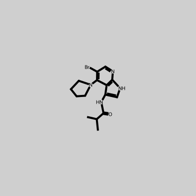 CC(C)C(=O)Nc1c[nH]c2ncc(Br)c(N3CCCC3)c12